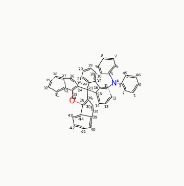 c1ccc(N(c2ccccc2)c2cccc3c2-c2ccccc2C32c3ccc4ccccc4c3Oc3c2ccc2ccccc32)cc1